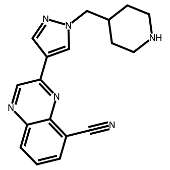 N#Cc1cccc2ncc(-c3cnn(CC4CCNCC4)c3)nc12